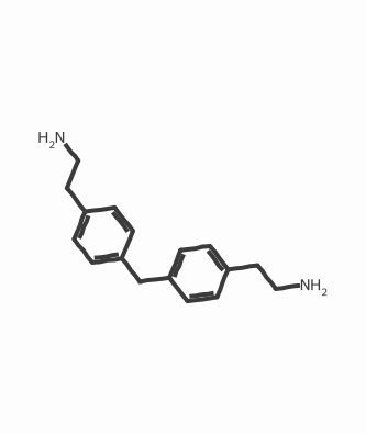 NCCc1ccc(Cc2ccc(CCN)cc2)cc1